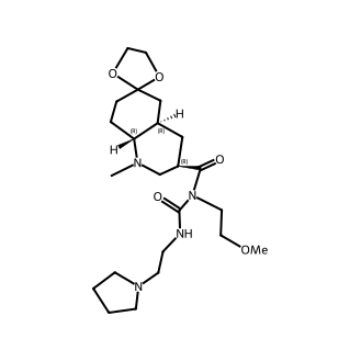 COCCN(C(=O)NCCN1CCCC1)C(=O)[C@@H]1C[C@@H]2CC3(CC[C@H]2N(C)C1)OCCO3